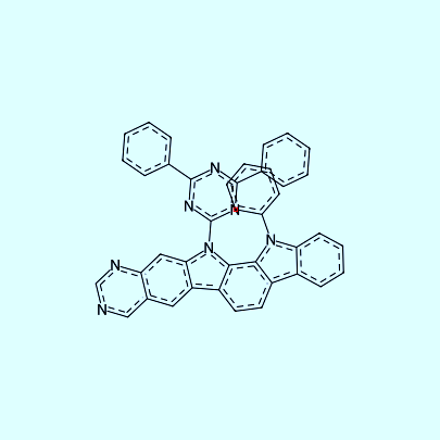 c1ccc(-c2nc(-c3ccccc3)nc(-n3c4cc5ncncc5cc4c4ccc5c6ccccc6n(-c6ccccc6)c5c43)n2)cc1